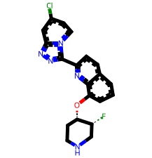 F[C@@H]1CNCC[C@@H]1Oc1cccc2ccc(-c3nnc4cc(Cl)ccn34)nc12